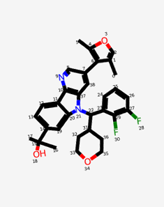 Cc1coc(C)c1-c1cnc2c3ccc(C(C)(C)O)cc3n(C(c3cccc(F)c3F)C3CCOCC3)c2c1